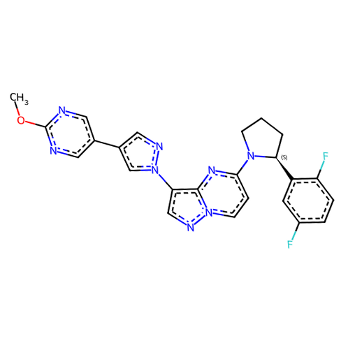 COc1ncc(-c2cnn(-c3cnn4ccc(N5CCC[C@H]5c5cc(F)ccc5F)nc34)c2)cn1